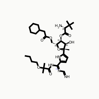 CCCCOC(C)(C)C(=O)N/C(=N/C=N)c1ccc([C@]2(C)O[C@H](COC(=O)CC3CCCCC3)[C@@H](OC(=O)[C@H](N)C(C)(C)C)[C@H]2O)[nH]1